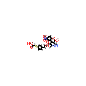 COC(=O)C1=C(C)NC(C)=C(C(=O)OCCc2ccc(SCC(=O)O)cc2)C1c1cccc([N+](=O)[O-])c1